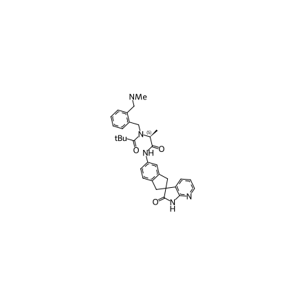 CNCc1ccccc1CN(C(=O)C(C)(C)C)[C@@H](C)C(=O)Nc1ccc2c(c1)CC1(C2)C(=O)Nc2ncccc21